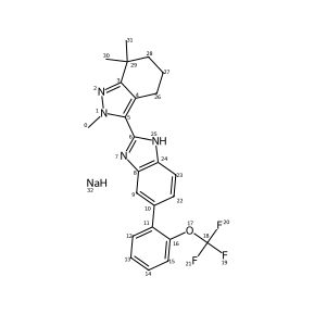 Cn1nc2c(c1-c1nc3cc(-c4ccccc4OC(F)(F)F)ccc3[nH]1)CCCC2(C)C.[NaH]